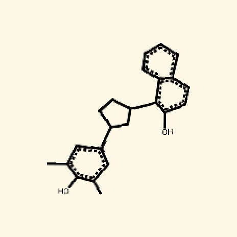 Cc1cc(C2CCC(c3c(O)ccc4ccccc34)C2)cc(C)c1O